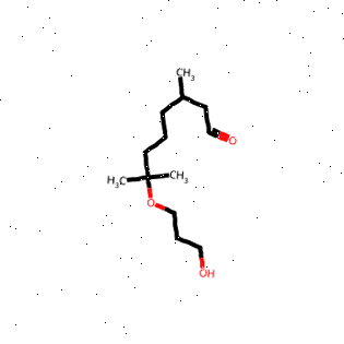 CC(CC=O)CCCC(C)(C)OCCCO